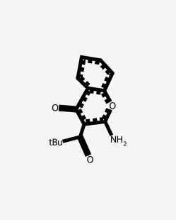 CC(C)(C)C(=O)c1c(N)oc2ccccc2c1=O